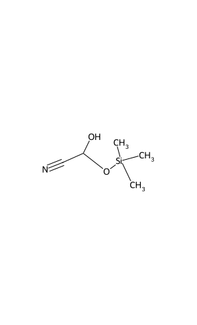 C[Si](C)(C)OC(O)C#N